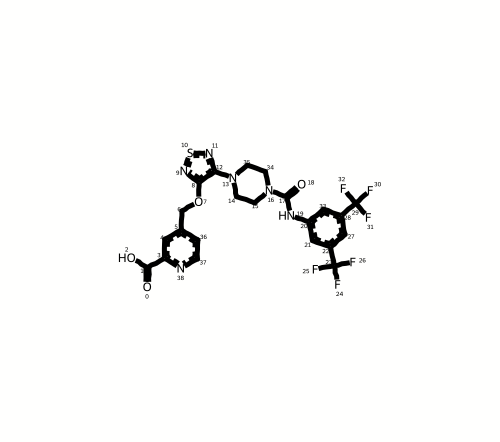 O=C(O)c1cc(COc2nsnc2N2CCN(C(=O)Nc3cc(C(F)(F)F)cc(C(F)(F)F)c3)CC2)ccn1